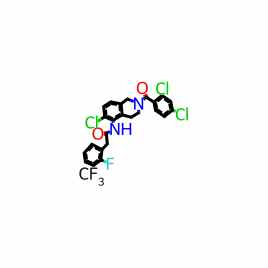 O=C(Cc1cccc(C(F)(F)F)c1F)Nc1c(Cl)ccc2c1CCN(C(=O)c1ccc(Cl)cc1Cl)C2